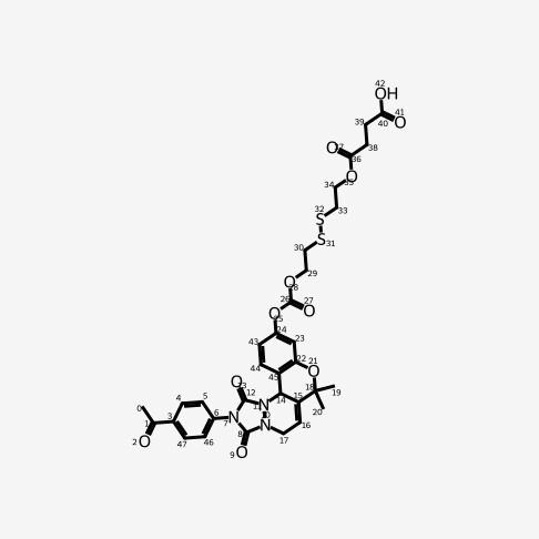 CC(=O)c1ccc(-n2c(=O)n3n(c2=O)C2C(=CC3)C(C)(C)Oc3cc(OC(=O)OCCSSCCOC(=O)CCC(=O)O)ccc32)cc1